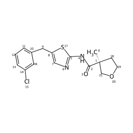 C[C@]1(C(=O)Nc2ncc(Cc3cccc(Cl)c3)s2)CCOC1